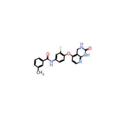 Cc1cccc(C(=O)Nc2ccc(Oc3ccnc4c3CNC(=O)N4)c(F)c2)c1